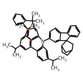 CC(C)c1cc(-c2ccc(C(C)C)cc2N(c2ccc3c(c2)C(C)(C)c2ccccc2-3)c2ccc3c(c2)C2(CC4CCC2C4)c2ccccc2-3)cc(C(C)C)c1